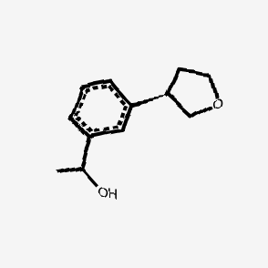 CC(O)c1cccc([C@H]2CCOC2)c1